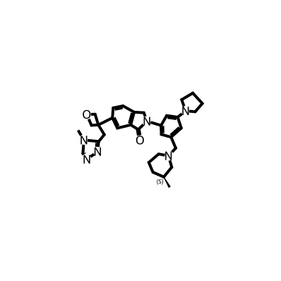 C[C@H]1CCCN(Cc2cc(N3CCCC3)cc(N3Cc4ccc(C5(Cc6nncn6C)COC5)cc4C3=O)c2)C1